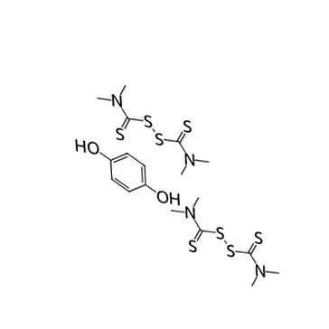 CN(C)C(=S)SSC(=S)N(C)C.CN(C)C(=S)SSC(=S)N(C)C.Oc1ccc(O)cc1